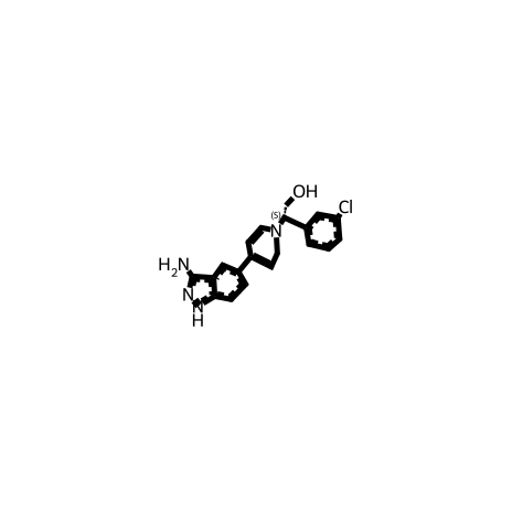 Nc1n[nH]c2ccc(C3=CCN([C@H](CO)c4cccc(Cl)c4)C=C3)cc12